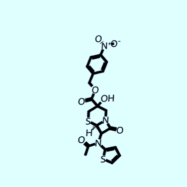 CC(=O)N(c1cccs1)C1C(=O)N2CC(O)(C(=O)OCc3ccc([N+](=O)[O-])cc3)CS[C@H]12